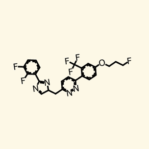 FCCCOc1ccc(-c2ccc(CC3C=NC(c4cccc(F)c4F)=N3)nn2)c(C(F)(F)F)c1